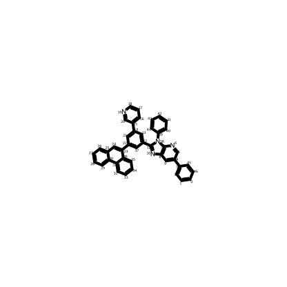 c1ccc(-c2cnc3c(c2)nc(-c2cc(-c4cccnc4)cc(-c4cc5ccccc5c5ccccc45)c2)n3-c2ccccc2)cc1